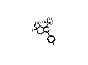 CS(=O)(=O)c1sc(-c2ccc(F)cc2)c2c1[C@H](O)C(F)(F)CC2